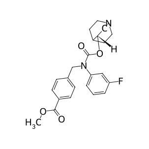 COC(=O)c1ccc(CN(C(=O)O[C@H]2CN3CCC2CC3)c2cccc(F)c2)cc1